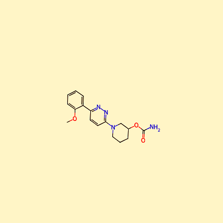 COc1ccccc1-c1ccc(N2CCCC(OC(N)=O)C2)nn1